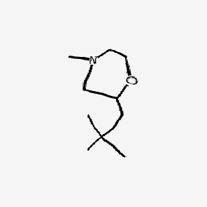 CN1CCOC(CC(C)(C)C)C1